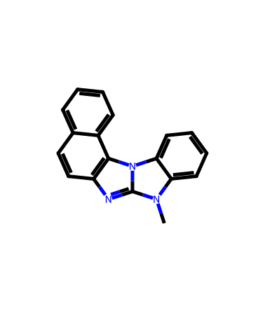 Cn1c2ccccc2n2c3c(ccc4ccccc43)nc12